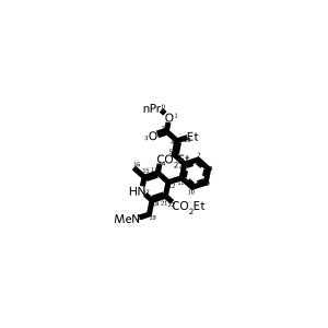 CCCOC(=O)/C(=C/c1ccccc1C1C(C(=O)OCC)=C(C)NC(CNC)=C1C(=O)OCC)CC